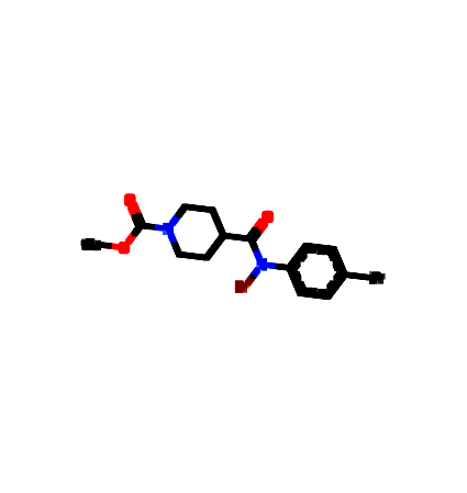 CC(C)c1ccc(N(Br)C(=O)C2CCN(C(=O)OC(C)(C)C)CC2)cc1